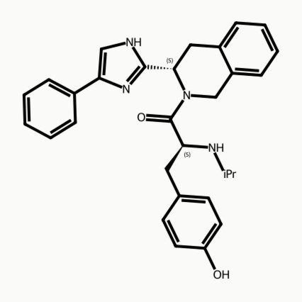 CC(C)N[C@@H](Cc1ccc(O)cc1)C(=O)N1Cc2ccccc2C[C@H]1c1nc(-c2ccccc2)c[nH]1